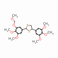 COCOc1cc(C2SCC(c3cc(OC)c(OC)c(OC)c3)S2)cc(OC)c1OC